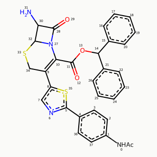 CC(=O)Nc1ccc(-c2ncc(C3=C(C(=O)OC(c4ccccc4)c4ccccc4)N4C(=O)C(N)C4SC3)s2)cc1